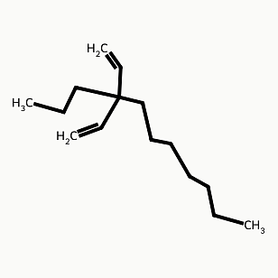 C=CC(C=C)(CCC)CCCCCCC